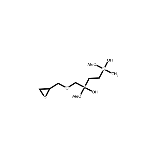 CO[Si](C)(O)CC[Si](O)(COCC1CO1)OC